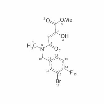 COC(=O)C(O)=CC(=O)N(C)Cc1ccc(F)c(Br)c1